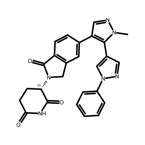 Cn1ncc(-c2ccc3c(c2)CN([C@H]2CCC(=O)NC2=O)C3=O)c1-c1cnn(-c2ccccc2)c1